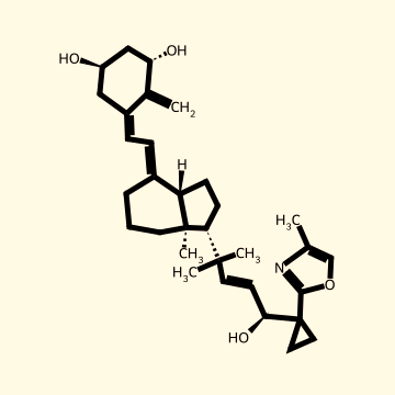 C=C1/C(=C\C=C2/CCC[C@]3(C)[C@@H](C(C)(C)/C=C/[C@H](O)C4(c5nc(C)co5)CC4)CC[C@@H]23)C[C@@H](O)C[C@@H]1O